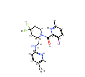 Cc1ccc(I)c(C(=O)N2CCC(F)(F)C[C@H]2CNc2ccc(C(F)(F)F)cn2)n1